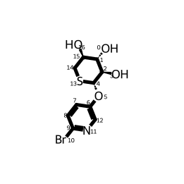 O[C@@H]1[C@@H](O)[C@H](Oc2ccc(Br)nc2)SC[C@H]1O